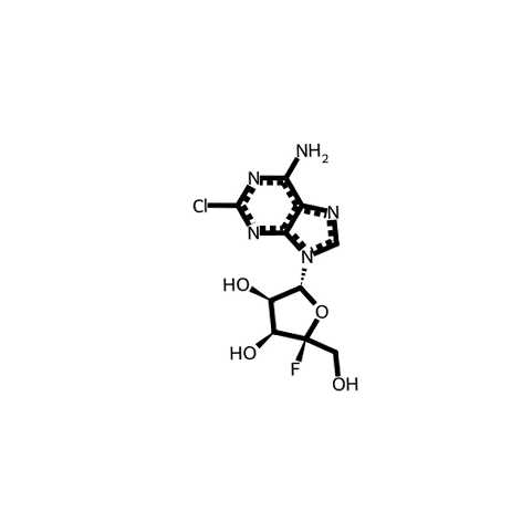 Nc1nc(Cl)nc2c1ncn2[C@@H]1O[C@](F)(CO)[C@@H](O)[C@H]1O